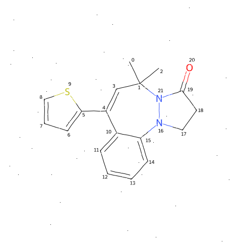 CC1(C)C=C(c2cccs2)c2ccccc2N2CCC(=O)N21